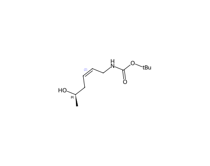 C[C@@H](O)C/C=C\CNC(=O)OC(C)(C)C